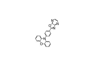 c1ccc2c(c1)Oc1ccccc1N2c1ccc(-c2nc3nccnc3o2)cc1